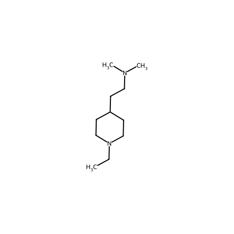 CCN1CCC(CCN(C)C)CC1